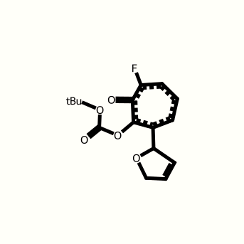 CC(C)(C)OC(=O)Oc1c(C2C=CCO2)cccc(F)c1=O